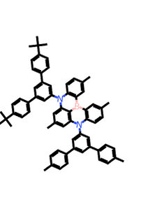 Cc1ccc(-c2cc(-c3ccc(C)cc3)cc(N3c4ccc(C)cc4B4c5cc(C)ccc5N(c5cc(-c6ccc(C(C)(C)C)cc6)cc(-c6ccc(C(C)(C)C)cc6)c5)c5cc(C)cc3c54)c2)cc1